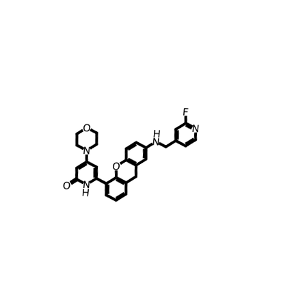 O=c1cc(N2CCOCC2)cc(-c2cccc3c2Oc2ccc(NCc4ccnc(F)c4)cc2C3)[nH]1